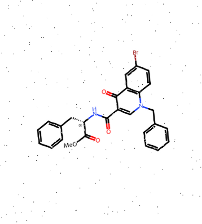 COC(=O)[C@H](Cc1ccccc1)NC(=O)c1cn(Cc2ccccc2)c2ccc(Br)cc2c1=O